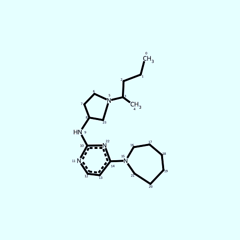 CCCC(C)N1CCC(Nc2nccc(N3CCCCCC3)n2)C1